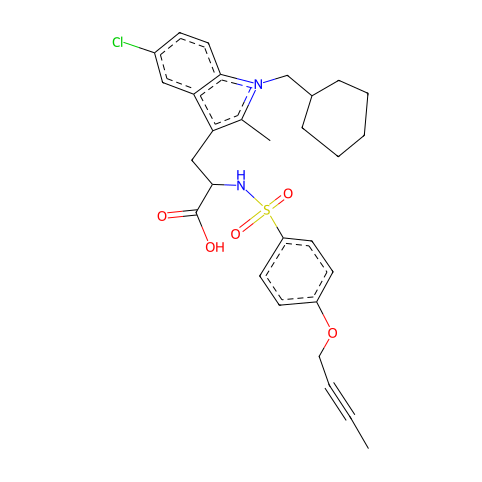 CC#CCOc1ccc(S(=O)(=O)NC(Cc2c(C)n(CC3CCCCC3)c3ccc(Cl)cc23)C(=O)O)cc1